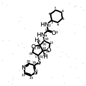 O=C(NC1CCCCC1)N[C@H]1CO[C@H]2[C@@H]1OC[C@@H]2Sc1cnccn1